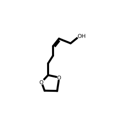 OC/C=C\CCC1OCCO1